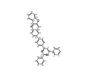 c1ccc(-c2cc(-c3ccc(-c4ccc5nc6c(cc5c4)oc4ccccc46)cc3)nc(-c3ccccc3)n2)cc1